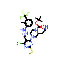 CSc1nc(Cl)c(/C=N/Nc2cccc(C(F)(F)F)c2C)c(N2CCN(C(=O)OC(C)(C)C)C(CC#N)C2)n1